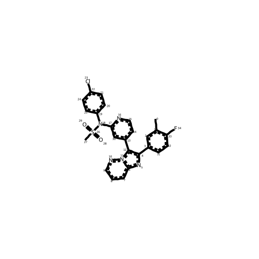 Cc1cc(-c2nc3cccnn3c2-c2ccnc(N(c3ccc(Cl)cc3)S(C)(=O)=O)c2)ccc1F